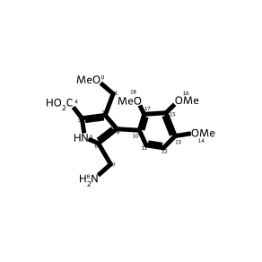 COCc1c(C(=O)O)[nH]c(CN)c1-c1ccc(OC)c(OC)c1OC